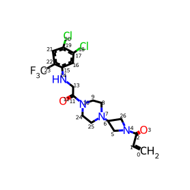 C=CC(=O)N1CC(N2CCN(C(=O)CNc3cc(Cl)c(Cl)cc3C(F)(F)F)CC2)C1